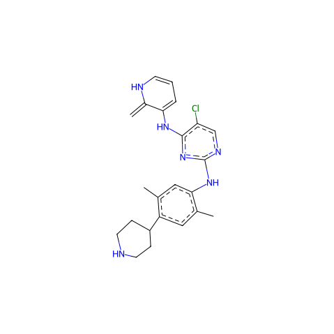 C=C1NC=CC=C1Nc1nc(Nc2cc(C)c(C3CCNCC3)cc2C)ncc1Cl